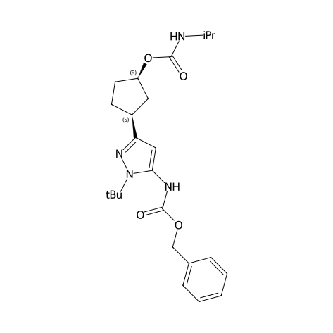 CC(C)NC(=O)O[C@@H]1CC[C@H](c2cc(NC(=O)OCc3ccccc3)n(C(C)(C)C)n2)C1